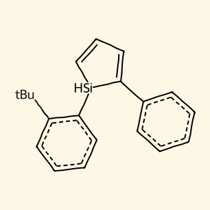 CC(C)(C)c1ccccc1[SiH]1C=CC=C1c1ccccc1